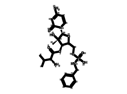 CC(C)[C@H](N)C(=O)O[C@@H]1C(COP(=O)(O)NCc2ccccc2)O[C@@H](n2ccc(N)nc2=O)[C@]1(C)O